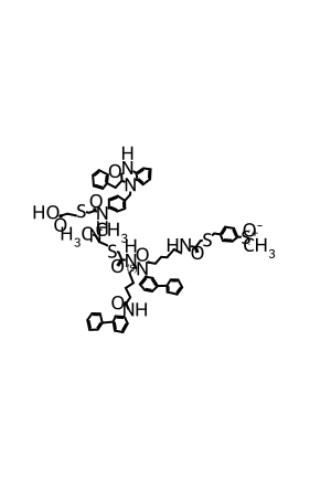 CN(C)CCSCC(=O)N[C@H](CCCCC(=O)Nc1cccc(-c2ccccc2)c1)N(C(=O)CCCCCNC(=O)CSCc1ccc([S+](C)[O-])cc1)c1cccc(-c2ccccc2)c1.O=C(O)CCSCC(=O)Nc1ccc(CN2c3ccccc3NC(=O)C2Cc2ccccc2)cc1